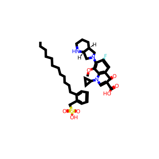 CCCCCCCCCCCCc1ccccc1CS(=O)(=O)O.COc1c(N2C[C@@H]3CCCN[C@@H]3C2)c(F)cc2c(=O)c(C(=O)O)cn(C3CC3)c12